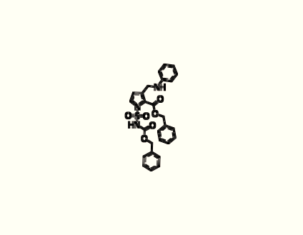 O=C(NS(=O)(=O)n1ccc(CNc2ccccc2)c1C(=O)OCc1ccccc1)OCc1ccccc1